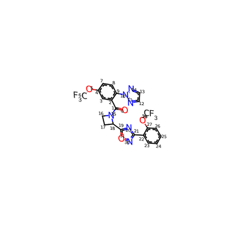 O=C(c1cc(OC(F)(F)F)ccc1-n1nccn1)N1CCC1c1nc(-c2ccccc2OC(F)(F)F)no1